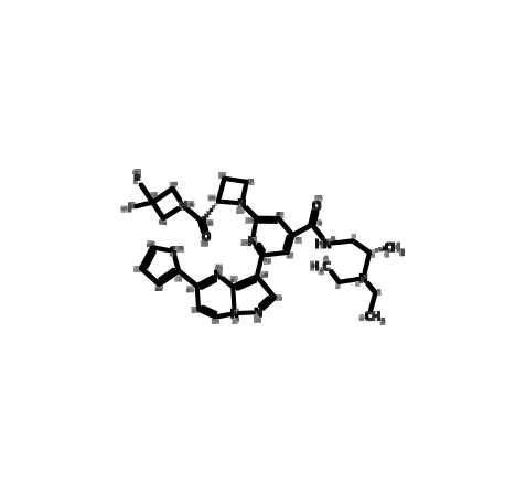 CCN(CC)[C@@H](C)CNC(=O)c1cc(-c2cnn3ccc(-c4cccs4)nc23)nc(N2CC[C@H]2C(=O)N2CC(F)(F)C2)c1